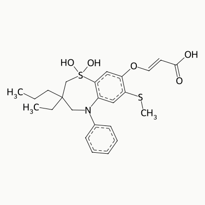 CCCC1(CC)CN(c2ccccc2)c2cc(SC)c(O/C=C/C(=O)O)cc2S(O)(O)C1